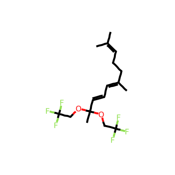 CC(C)=CCCC(C)=CC=CC(C)(OCC(F)(F)F)OCC(F)(F)F